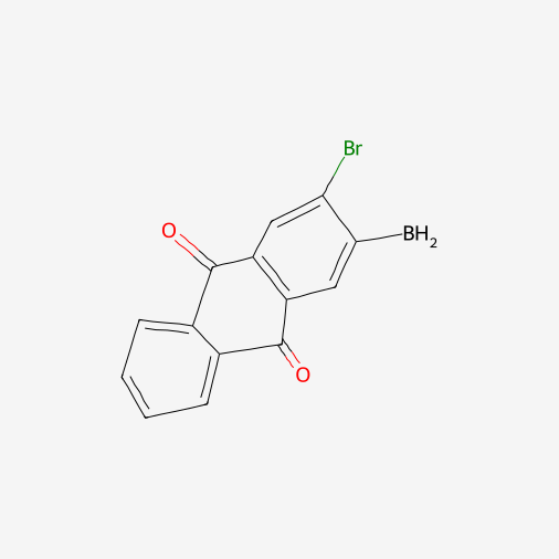 Bc1cc2c(cc1Br)C(=O)c1ccccc1C2=O